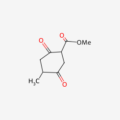 COC(=O)C1CC(=O)C(C)CC1=O